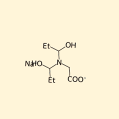 CCC(O)N(CC(=O)[O-])C(O)CC.[Na+]